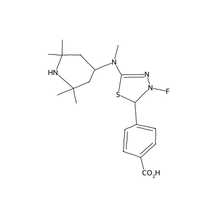 CN(C1=NN(F)C(c2ccc(C(=O)O)cc2)S1)C1CC(C)(C)NC(C)(C)C1